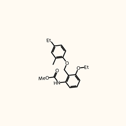 CCOc1cccc(NC(=O)OC)c1COc1ccc(CC)cc1C